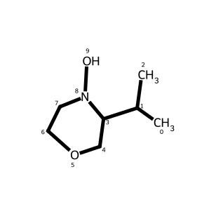 CC(C)C1COCCN1O